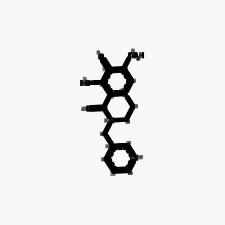 O=C(O)c1cn2c(c(O)c1=O)C(=O)N(Cc1cccnc1)CC2